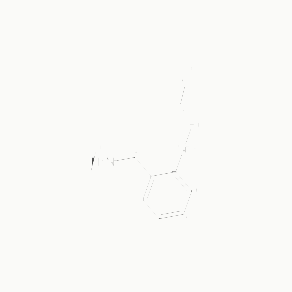 C[CH2][Sn+2][c]1ccccc1CN.C[O-].C[O-]